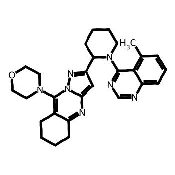 Cc1cccc2ncnc(N3CCCCC3c3cc4nc5c(c(N6CCOCC6)n4n3)CCCC5)c12